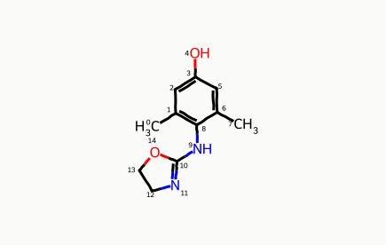 Cc1cc(O)cc(C)c1NC1=NCCO1